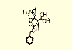 CC(O)[C@H](NC(=O)OCc1ccccc1)C(=O)NN